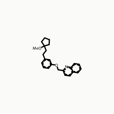 COC1(CCc2cccc(OCc3ccc4ccccc4n3)c2)CCCC1